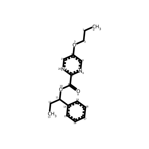 CCCOc1cnc(C(=O)OC(CC)c2ccccc2)nc1